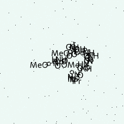 COc1ccc(C2=CN3C(=O)c4cc(OC)c(OCCCOc5cc6c(cc5OC)C(=O)N5CC7(CC7)C[C@H]5C(O)N6C(=O)OCc5ccc(NC(=O)[C@H](CC(C)C)NC(=O)[C@@H]6CCCN6C(=O)CNC(=O)CNC(=O)CCC(=O)N6Cc7ccccc7-c7nnn(C(C)C)c7-c7ccccc76)cc5)cc4NC[C@@H]3C2)cc1